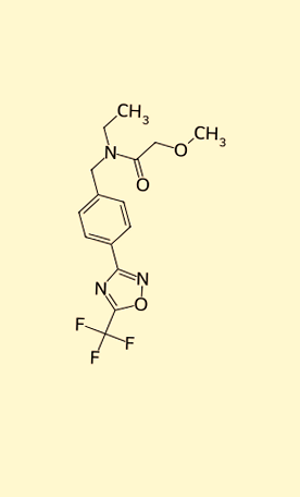 CCN(Cc1ccc(-c2noc(C(F)(F)F)n2)cc1)C(=O)COC